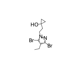 CCc1c(Br)nn(CCC2(O)CC2)c1Br